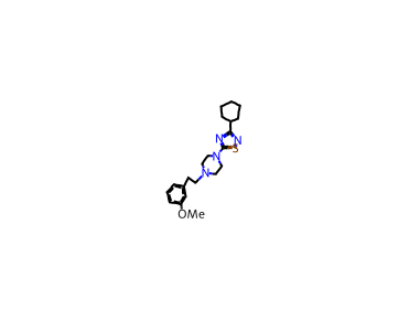 COc1cccc(CCN2CCN(c3nc(C4CCCCC4)ns3)CC2)c1